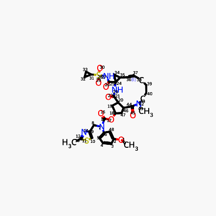 COc1cccc(N(Cc2csc(C)n2)C(=O)OC2CC3C(=O)NC4(C(=O)NS(=O)(=O)C5CC5)CC4/C=C/CCCCN(C)C(=O)C3C2)c1